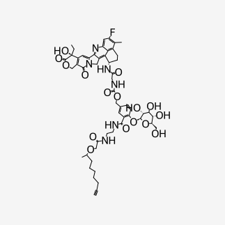 C#CCCCCCC(C)OCC(=O)NCCNC(=O)c1cc(COC(=O)NCC(=O)N[C@H]2CCc3c(C)c(F)cc4nc5c(c2c34)Cn2c-5cc3c(c2=O)COC(=O)[C@]3(O)CC)ccc1O[C@@H]1O[C@H](CO)[C@@H](O)[C@H](O)[C@H]1O